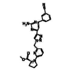 COC(=O)[C@@H]1CCCN1c1cccc(Cn2cc(-c3cc(-c4cccc(C#N)c4)nc(N)n3)nn2)n1